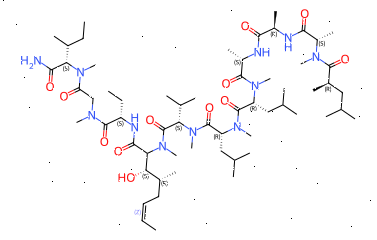 C/C=C\C[C@@H](C)[C@H](O)C(C(=O)N[C@@H](CC)C(=O)N(C)CC(=O)N(C)[C@H](C(N)=O)C(C)CC)N(C)C(=O)[C@H](C(C)C)N(C)C(=O)[C@@H](CC(C)C)N(C)C(=O)[C@@H](CC(C)C)N(C)C(=O)[C@H](C)NC(=O)[C@@H](C)NC(=O)[C@H](C)N(C)C(=O)[C@H](C)CC(C)C